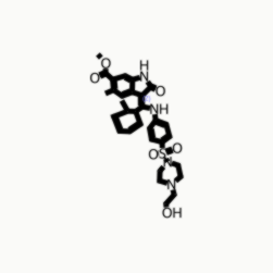 COC(=O)c1cc2c(cc1C)/C(=C(/Nc1ccc(S(=O)(=O)N3CCN(CCO)CC3)cc1)C1C=CC=CC1C)C(=O)N2